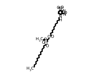 CCCCCCCCCCCCCCCC(=O)OCC(COC(=O)CCCCCCCCCCCNc1ccc([N+](=O)[O-])c2nonc12)OC(C)=O